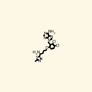 Cc1nnc([C@H](N)CCCOc2ccc(Cl)c(Cl)c2Cn2cnc3c(N)ncnc32)s1